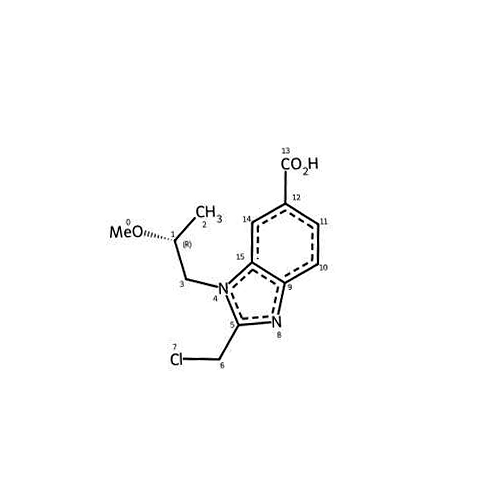 CO[C@H](C)Cn1c(CCl)nc2ccc(C(=O)O)cc21